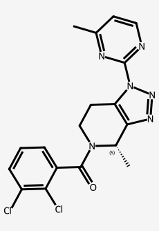 Cc1ccnc(-n2nnc3c2CCN(C(=O)c2cccc(Cl)c2Cl)[C@H]3C)n1